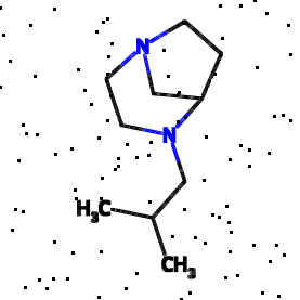 CC(C)CN1CCN2CCC1C2